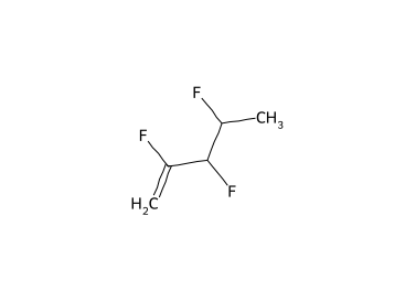 C=C(F)C(F)C(C)F